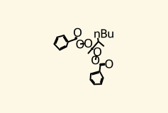 CCCCC(C)C(C)(OOC(=O)c1ccccc1)OOC(=O)c1ccccc1